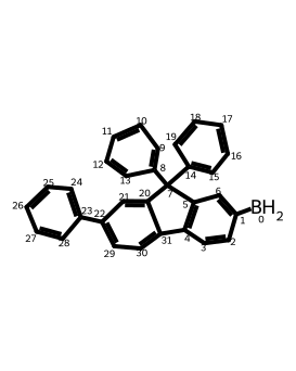 Bc1ccc2c(c1)C(c1ccccc1)(c1ccccc1)c1cc(-c3ccccc3)ccc1-2